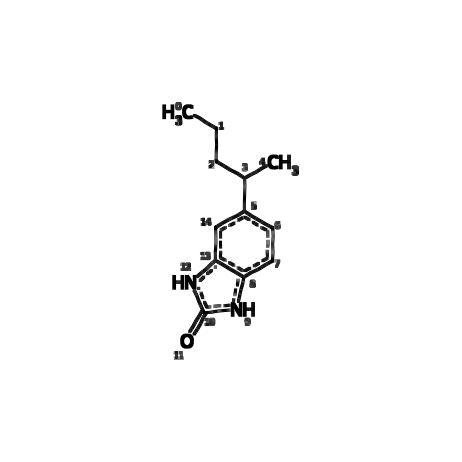 CCCC(C)c1ccc2[nH]c(=O)[nH]c2c1